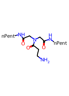 CCCCCNC(=O)CN(CC(=O)NCCCCC)C(=O)CCN